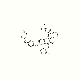 Cc1ccccc1Cn1c(=O)c(C2CCCCC2S(=O)(=O)CC(F)(F)F)cc2cnc(Cc3ccc(OC4CCN(C)CC4)cc3)nc21